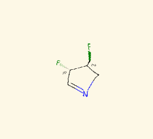 F[C@H]1C=NC[C@@H]1F